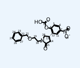 O=C(O)Oc1ccc([N+](=O)[O-])cc1[C@@H]1CC(=O)N(CCOCc2ccccc2)C1